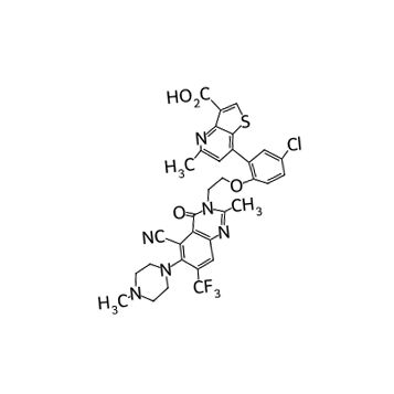 Cc1cc(-c2cc(Cl)ccc2OCCn2c(C)nc3cc(C(F)(F)F)c(N4CCN(C)CC4)c(C#N)c3c2=O)c2scc(C(=O)O)c2n1